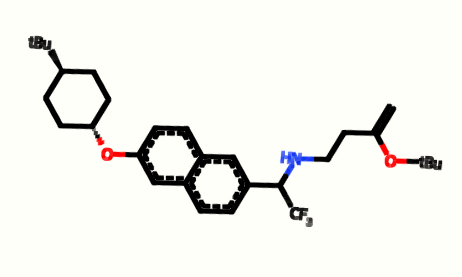 C=C(CCNC(c1ccc2cc(O[C@H]3CC[C@H](C(C)(C)C)CC3)ccc2c1)C(F)(F)F)OC(C)(C)C